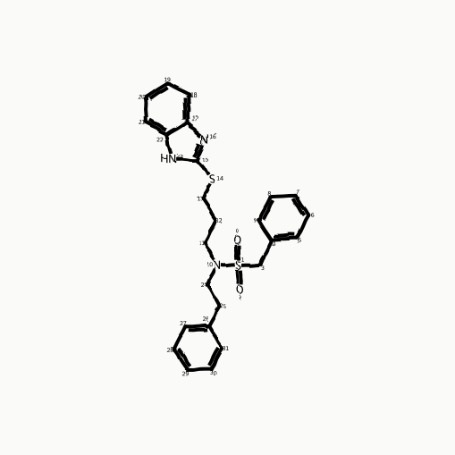 O=S(=O)(Cc1ccccc1)N(CCCSc1nc2ccccc2[nH]1)CCc1ccccc1